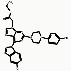 CCOC(=O)Cn1cnc2c(-n3nnc4cc(Cl)ccc43)nc(N3CCN(c4ccc(O)cc4)CC3)nc21